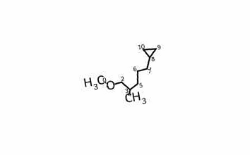 COCC(C)CC[CH]C1CC1